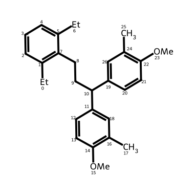 CCc1c[c]cc(CC)c1CCC(c1ccc(OC)c(C)c1)c1ccc(OC)c(C)c1